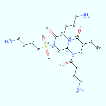 CC(C)CC1CN(C(=O)CCCN)C2CN(S(=O)(=O)CCCCN)C(=O)C(CCCN)N2C1=O